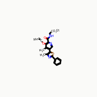 CCOC(=O)CNC(=O)c1ncc(-c2sc(-c3ccccc3)nc2C)c(C)c1OCOC